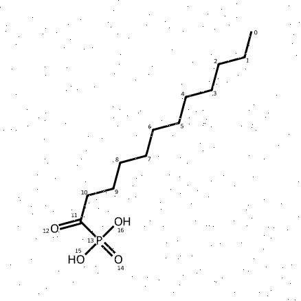 CCCCCCCCCCCC(=O)P(=O)(O)O